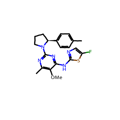 COc1c(C)nc(N2CCC[C@H]2c2ccc(C)cc2)nc1Nc1ncc(F)s1